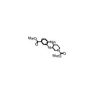 COC(=O)c1ccc(NC2CCN(C(=O)OC)CC2)c(N)c1